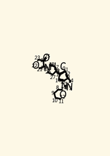 Cc1cc2cnn(C3CCCCO3)c2cc1C1CCN(C2COCC2=O)CC1